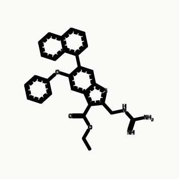 CCOC(=O)c1c(CNC(=N)N)sc2cc(-c3cccc4ccccc34)c(Oc3ccccc3)cc12